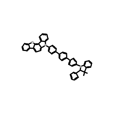 CC1(C)c2ccccc2N(c2ccc(-c3ccc(-c4ccc(-n5c6ccccc6c6c7oc8ccccc8c7ccc65)cc4)cc3)cc2)C1c1ccccc1